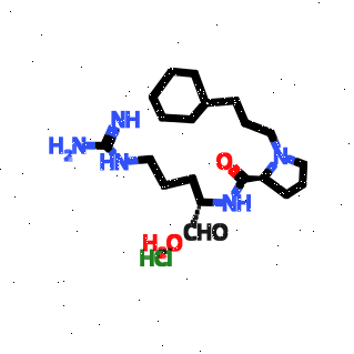 Cl.N=C(N)NCCC[C@@H](C=O)NC(=O)[C@@H]1CCCN1CCCC1CCCCC1.O